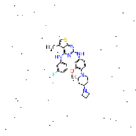 CCOc1cc(Nc2nc(Nc3cccc(F)c3)c3c(C)csc3n2)ccc1N1CCC(N2CCC2)CC1